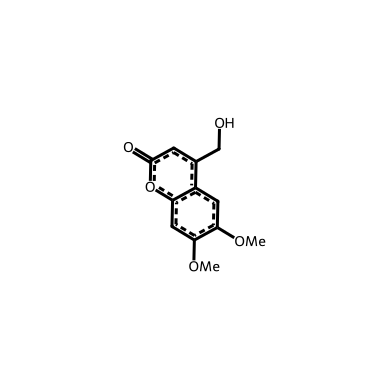 COc1cc2oc(=O)cc(CO)c2cc1OC